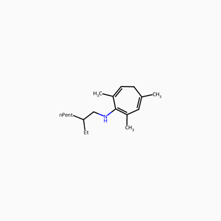 CCCCCC(CC)CNC1=C(C)C=C(C)CC=C1C